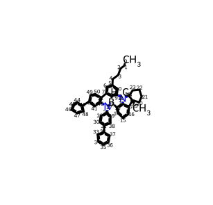 CCCCCc1cc2c3c(c1)N1c4c(cccc4C4(C)CCCCC14C)B3N(c1ccc(-c3ccccc3)cc1)c1cc(-c3ccccc3)ccc1-2